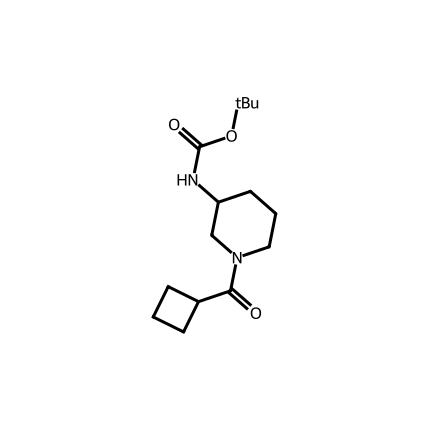 CC(C)(C)OC(=O)NC1CCCN(C(=O)C2CCC2)C1